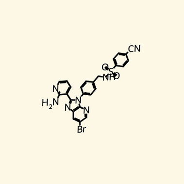 N#Cc1ccc(S(=O)(=O)NCc2ccc(-n3c(-c4cccnc4N)nc4cc(Br)cnc43)cc2)cc1